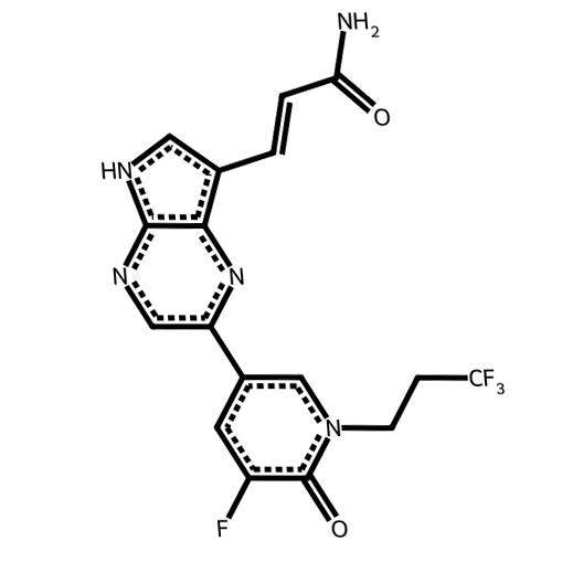 NC(=O)/C=C/c1c[nH]c2ncc(-c3cc(F)c(=O)n(CCC(F)(F)F)c3)nc12